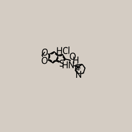 Cl.O=C(N[C@@H]1CN2CCC1CC2)c1cc2cc3c(cc2s1)OCO3